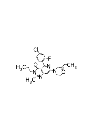 CCCn1c(C)nc2cc(N3CCO[C@H](CC)C3)nc(-c3ccc(Cl)cc3F)c2c1=O